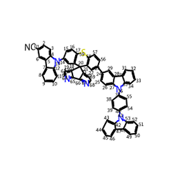 N#Cc1ccc2c(c1)c1ccccc1n2-c1ccc2c(c1)C1(c3cc(-c4ccc5c(c4)c4ccccc4n5-c4ccc(-n5c6ccccc6c6ccccc65)cc4)ccc3S2)c2cccnc2-c2ncccc21